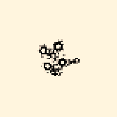 O=P([O-])(Oc1ccccc1)Oc1ccccc1.O=P([O-])(Oc1ccccc1)Oc1ccccc1.[O]=[Cr+2]=[O]